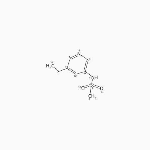 CCc1cncc(NS(C)(=O)=O)c1